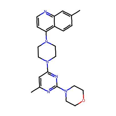 Cc1ccc2c(N3CCN(c4cc(C)nc(N5CCOCC5)n4)CC3)ccnc2c1